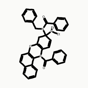 CCN(CC)C1(N(Cc2ccccc2)C(=O)c2ccccc2)C=CC2=C(C1)Oc1ccc3ccccc3c1N2C(=O)c1ccccc1